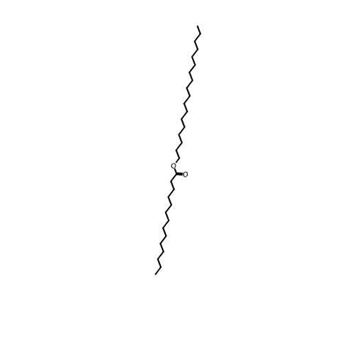 CCCCCCCCCCCCCCCCCCOC(=O)CCCCCCCCCCCCC